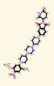 COc1cc(N2CCC(N3CCN(C4CCN(c5ccc6c(c5)C(=O)N(C5CCC(=O)NC5=O)C6=O)CC4)CC3)CC2)c(C)cc1[N+](=O)[O-]